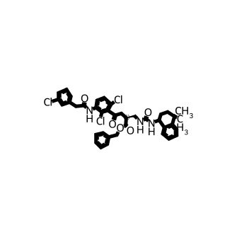 CC1(C)CCC(NC(=O)NC[C@H](CC(=O)c2c(Cl)ccc(NC(=O)Cc3cccc(Cl)c3)c2Cl)C(=O)OCc2ccccc2)c2ccccc21